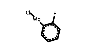 Fc1cccc[c]1[Mg][Cl]